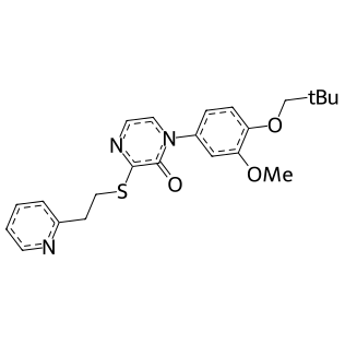 COc1cc(-n2ccnc(SCCc3ccccn3)c2=O)ccc1OCC(C)(C)C